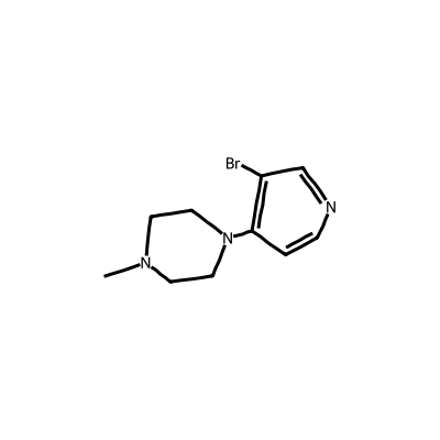 CN1CCN(c2ccncc2Br)CC1